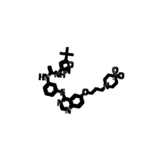 C=C(Nc1cccc(Sc2ncnc3ccc(OCCCN4CCS(=O)(=O)CC4)cc23)c1)Nc1cc(C(C)(C)C)on1